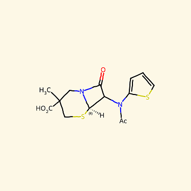 CC(=O)N(c1cccs1)C1C(=O)N2CC(C)(C(=O)O)CS[C@H]12